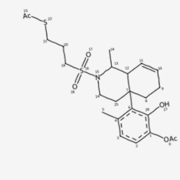 CC(=O)Oc1ccc(C)c(C23CCC=CC2C(C)N(S(=O)(=O)CCCSC(C)=O)CC3)c1O